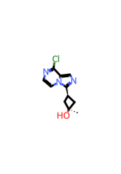 C[C@]1(O)C[C@@H](c2ncc3c(Cl)nccn32)C1